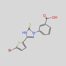 O=C(O)c1cccc(-n2cc(-c3ccc(Br)s3)[nH]c2=S)c1